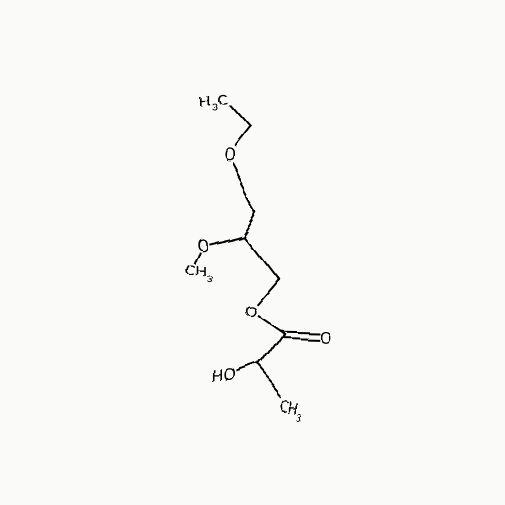 CCOCC(COC(=O)C(C)O)OC